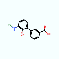 O=C(O)c1cccc(-c2cccc(NCl)c2O)c1